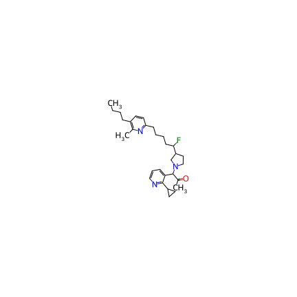 CCCCc1ccc(CCCCC(F)C2CCN(C(C(C)=O)c3cccnc3C3CC3)C2)nc1C